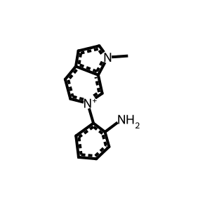 Cn1ccc2cc[n+](-c3ccccc3N)cc21